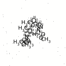 COC(=O)[C@]12C[C@H]1CN(c1nccc(-c3cccc(C)c3OCc3ccc4c(c3C)CCN(C(=O)OC(C)(C)C)C4)n1)C2